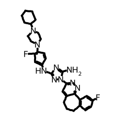 Nc1nc(Nc2ccc(N3CCN(C4CCCCC4)CC3)c(F)c2)nn1-c1cc2c(nn1)-c1cc(F)ccc1CCC2